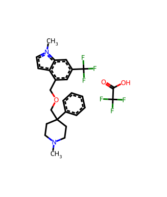 CN1CCC(COCc2cc(C(F)(F)F)cc3c2ccn3C)(c2ccccc2)CC1.O=C(O)C(F)(F)F